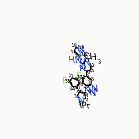 CC(C)N1C[C@@H](n2nnc3cc(-c4ccnc(Nc5ccnn5C)n4)ccc32)[C@H](c2cc(F)cc(F)c2)C1